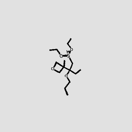 CCCOC(CC)(C[SiH](OCC)OCC)C1(C)COC1